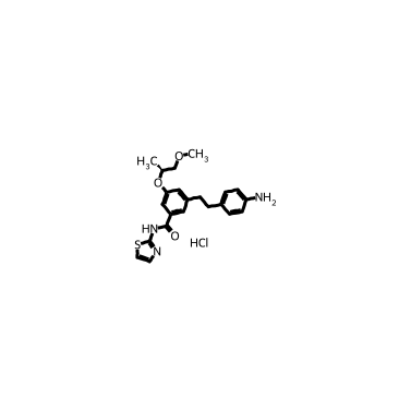 COC[C@H](C)Oc1cc(CCc2ccc(N)cc2)cc(C(=O)Nc2nccs2)c1.Cl